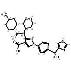 CC(c1ccc(-n2cc(C(=O)O)c(N(C(=O)[C@H]3CC[C@H](C)CC3)C3CCOCC3)n2)cc1)c1cscn1